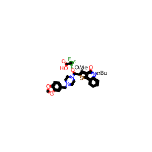 CCCCn1c(=O)c2c(OC)c(C(=O)N3CCN(Cc4ccc5c(c4)OCO5)CC3)sc2c2ccccc21.O=C(O)C(F)(F)F